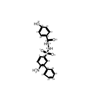 Nc1ccc(S(=O)(=O)NNC(=O)c2ccc(O)cc2)cc1-c1ccccc1